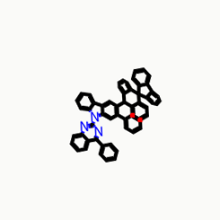 c1ccc(-c2cc3c(cc2C2c4ccccc4C4(c5ccccc5-c5ccccc54)c4ccccc42)c2ccccc2n3-c2nc(-c3ccccc3)c3ccccc3n2)cc1